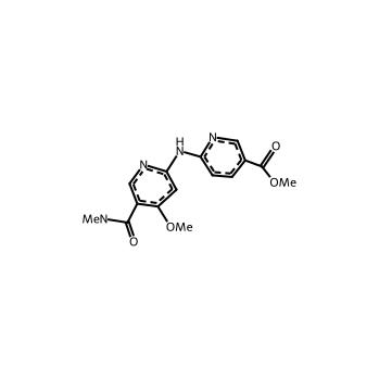 CNC(=O)c1cnc(Nc2ccc(C(=O)OC)cn2)cc1OC